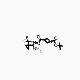 CC(C)(C)OC(=O)N1CC(C(=O)ON=C(N)C2(C(F)(F)F)CC2)C1